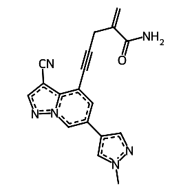 C=C(CC#Cc1cc(-c2cnn(C)c2)cn2ncc(C#N)c12)C(N)=O